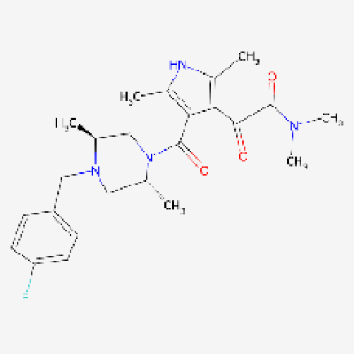 Cc1[nH]c(C)c(C(=O)N2C[C@H](C)N(Cc3ccc(F)cc3)C[C@H]2C)c1C(=O)C(=O)N(C)C